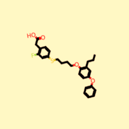 CCCc1cc(Oc2ccccc2)ccc1OCCCCSc1ccc(CC(=O)O)c(F)c1